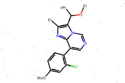 CCCC(OCC)c1c(CC)nc2c(-c3ccc(OC)cc3Cl)cncn12